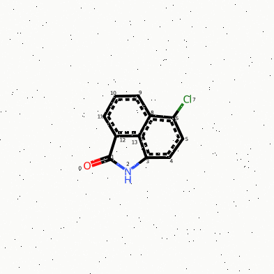 O=C1Nc2ccc(Cl)c3cccc1c23